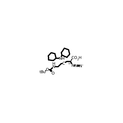 C1CCC(NC2CCCCC2)CC1.CC(C)(C)OC(=O)NCCCC[C@H](N=[N+]=[N-])C(=O)O